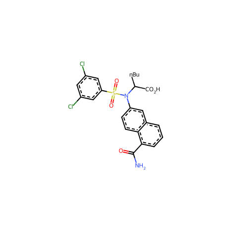 CCCCC(C(=O)O)N(c1ccc2c(C(N)=O)cccc2c1)S(=O)(=O)c1cc(Cl)cc(Cl)c1